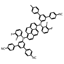 [C-]#[N+]c1ccc(-c2cc(-c3ccc(C)cc3)cc(N(c3cccc(F)c3F)c3ccc4ccc5c(N(c6cc(-c7ccc(C#N)cc7)cc(-c7ccc([N+]#[C-])cc7)c6)c6cccc(F)c6F)ccc6ccc3c4c65)c2)cc1